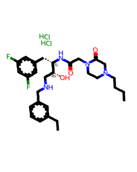 CCCCN1CCN(CC(=O)N[C@@H](Cc2cc(F)cc(F)c2)[C@H](O)CNCc2cccc(CC)c2)C(=O)C1.Cl.Cl